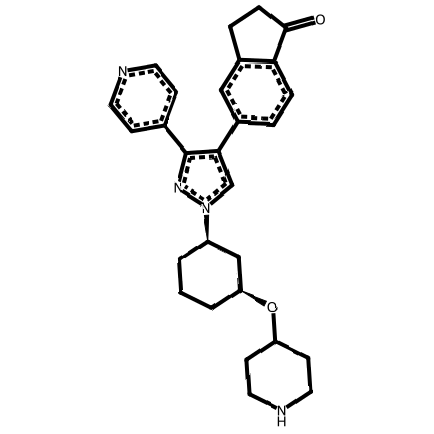 O=C1CCc2cc(-c3cn([C@@H]4CCC[C@H](OC5CCNCC5)C4)nc3-c3ccncc3)ccc21